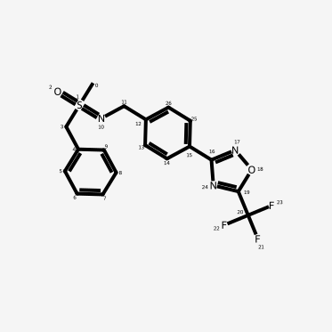 CS(=O)(Cc1ccccc1)=NCc1ccc(-c2noc(C(F)(F)F)n2)cc1